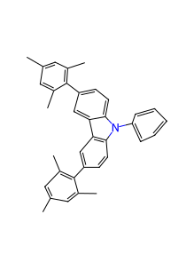 Cc1cc(C)c(-c2ccc3c(c2)c2cc(-c4c(C)cc(C)cc4C)ccc2n3-c2ccccc2)c(C)c1